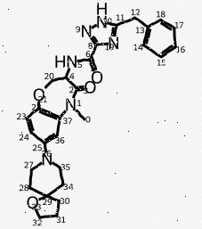 CN1C(=O)C(NC(=O)c2n[nH]c(Cc3ccccc3)n2)COc2ccc(N3CCC4(CCCO4)CC3)cc21